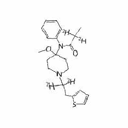 [2H]C([2H])(C)C(=O)N(c1ccccc1)C1(OC)CCN(C([2H])([2H])Cc2cccs2)CC1